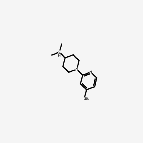 C[SH](C)C1CCN(c2cc(C(C)(C)C)ccn2)CC1